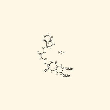 COC1=CC2=C(CC(=O)N(CCCN(C)CCc3csc4ccccc34)CC2)CC1OC.Cl